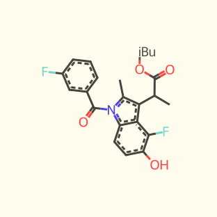 CCC(C)OC(=O)C(C)c1c(C)n(C(=O)c2cccc(F)c2)c2ccc(O)c(F)c12